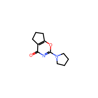 O=c1nc(N2CCCC2)oc2c1CCC2